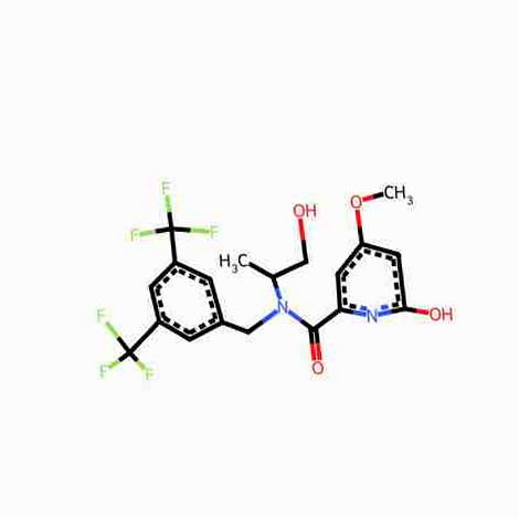 COc1cc(O)nc(C(=O)N(Cc2cc(C(F)(F)F)cc(C(F)(F)F)c2)C(C)CO)c1